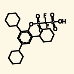 O=S(=O)(O)C(F)(F)S(=O)(=O)Oc1c(C2CCCCC2)cc(C2CCCCC2)cc1C1CCCCC1